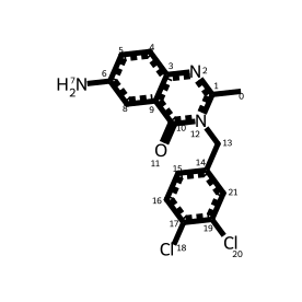 Cc1nc2ccc(N)cc2c(=O)n1Cc1ccc(Cl)c(Cl)c1